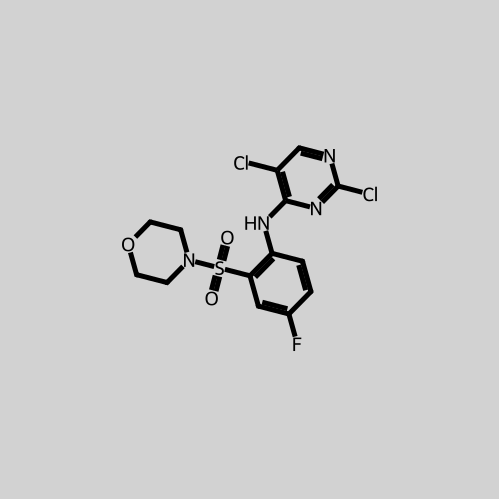 O=S(=O)(c1cc(F)ccc1Nc1nc(Cl)ncc1Cl)N1CCOCC1